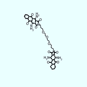 Nc1c2c(=O)c3ccccc3c(=O)c2c(N)c2c(=O)n(CCCOCCOCCOCCCn3c(=O)c4c(N)c5c(=O)c6ccccc6c(=O)c5c(N)c4c3=O)c(=O)c12